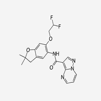 CC1(C)Cc2cc(NC(=O)c3cnn4cccnc34)c(OCC(F)F)cc2O1